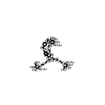 CC(=O)NC1C(OCCOCCNC(=O)CN(CC(=O)NCCOCCOC2OC(CO)C(O)C(O)C2NC(C)=O)C(Cc2ccc(CNC(=O)C3CCC(OP(=O)(S)C(C)(C)C)CC3)cc2)C(=O)NCCOCCOC2OC(CO)C(O)C(O)C2NC(C)=O)OC(CO)C(O)C1O